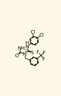 NC(=O)N(Cc1cccc(C(F)(F)F)c1)C(=S)Nc1ccc(Cl)c(Cl)c1